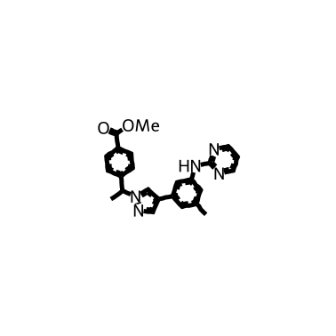 COC(=O)c1ccc(C(C)n2cc(-c3cc(C)cc(Nc4ncccn4)c3)cn2)cc1